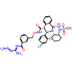 CS(=O)(=O)N(N)[C@H]1CCCC[C@@H]1N1C(=O)c2ccccc2[C@@H](C(=O)NOCc2cccc(C(=O)/N=C(\N)N=NN)c2)[C@@H]1c1ccc(Cl)cc1Cl